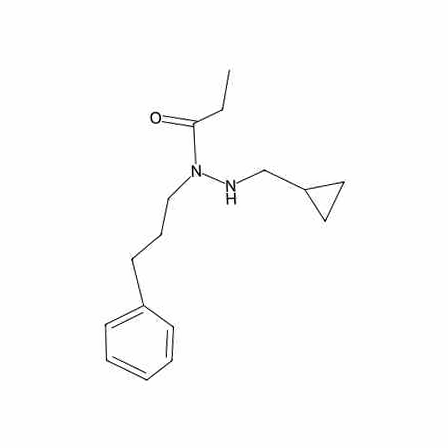 CCC(=O)N(CCCc1ccccc1)NCC1CC1